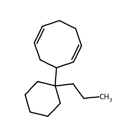 CCCC1(C2C=CCCC=CC2)CCCCC1